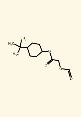 CC(C)(C)C1CCC(OC(=O)CO[C]=O)CC1